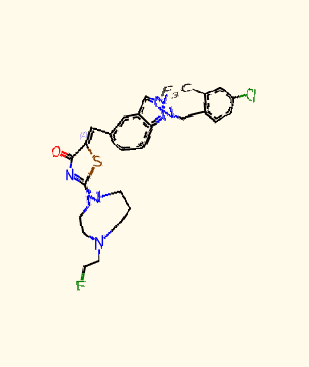 O=C1N=C(N2CCCN(CCF)CC2)S/C1=C\c1ccc2c(cnn2Cc2ccc(Cl)cc2C(F)(F)F)c1